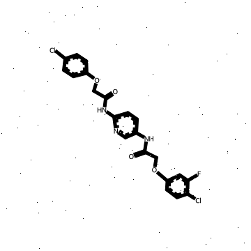 O=C(COc1ccc(Cl)c(F)c1)Nc1ccc(NC(=O)COc2ccc(Cl)cc2)nc1